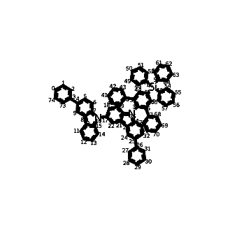 c1ccc(-c2ccc3c(c2)c2ccccc2n3-c2ccc3c(c2)c2cc(-c4ccccc4)ccc2n3-c2c(-c3ccccc3)cc([Si](c3ccccc3)(c3ccccc3)c3ccccc3)cc2-c2ccccc2)cc1